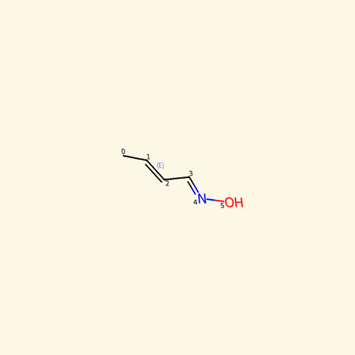 C/C=C/C=NO